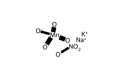 O=[N+]([O-])[O-].[K+].[Na+].[O]=[Mn](=[O])(=[O])[O-]